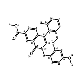 COC(=O)c1ccc2c(-c3ccccc3C)cn(Cc3ccc(OC)cc3OC)c(=O)c2c1